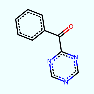 O=C(c1ccccc1)c1ncncn1